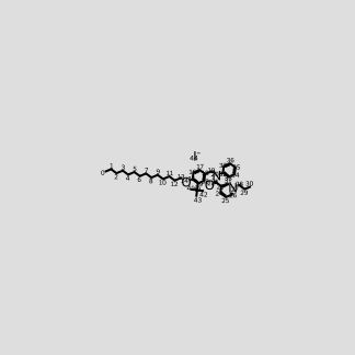 CCCCCCCCCCCCCCOc1ccc(CN(C(=O)c2ccc[n+](CCC)c2)c2ccccc2)cc1C(C)(C)C.[I-]